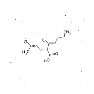 CCC/C=C(Cl)/C(=C\C=C(/C)Cl)C(=O)O